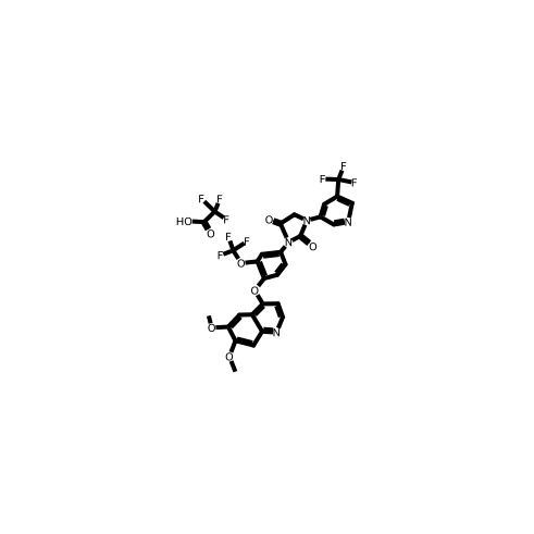 COc1cc2nccc(Oc3ccc(N4C(=O)CN(c5cncc(C(F)(F)F)c5)C4=O)cc3OC(F)(F)F)c2cc1OC.O=C(O)C(F)(F)F